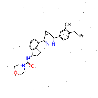 CC(C)Cc1ccc(C2=NN=C(c3cccc4c3CC[C@@H]4NC(=O)N3CCOCC3)C3CC23)cc1C#N